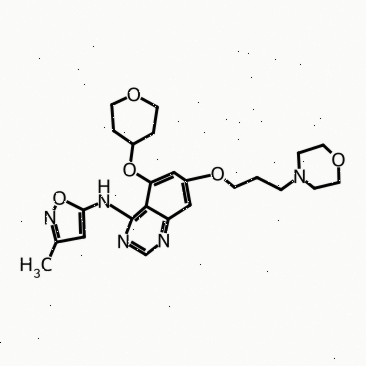 Cc1cc(Nc2ncnc3cc(OCCCN4CCOCC4)cc(OC4CCOCC4)c23)on1